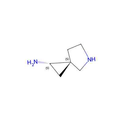 N[C@H]1C[C@]12CCNC2